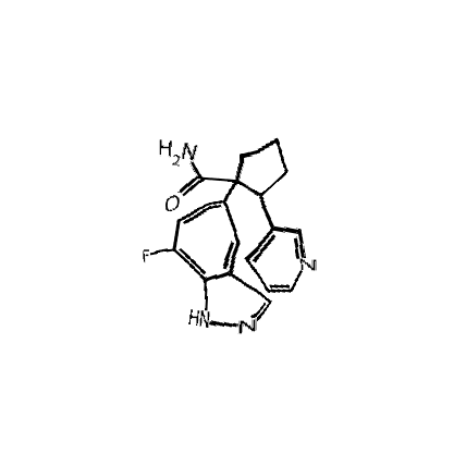 NC(=O)C1(c2cc(F)c3[nH]ncc3c2)CCCC1c1cccnc1